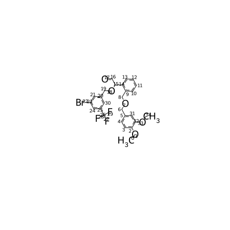 COc1ccc(COCc2ccccc2C(C=O)OCc2cc(Br)cc(C(F)(F)F)c2)cc1OC